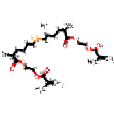 C=C(C)C(=O)OCCOC(=O)C(CC)CCCCPCCCCC(CC)C(=O)OCCOC(=O)C(=C)C.[H+]